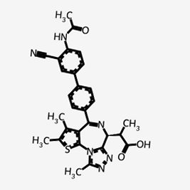 CC(=O)Nc1ccc(-c2ccc(C3=N[C@@H](C(C)C(=O)O)c4nnc(C)n4-c4sc(C)c(C)c43)cc2)cc1C#N